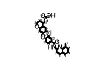 Cc1cccc2ccc(NC(=O)c3ccc(Oc4cc5c(cc4Cl)C(OC(=O)O)CCO5)cc3)nc12